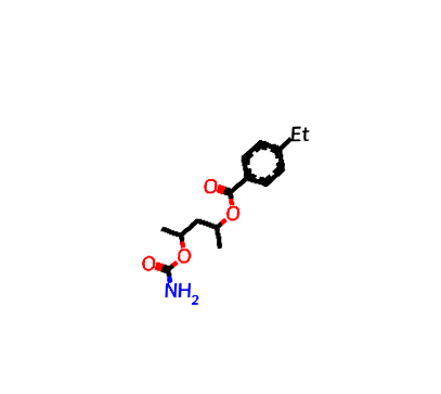 CCc1ccc(C(=O)OC(C)CC(C)OC(N)=O)cc1